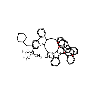 C=C1CC2C(CCc3ccc4c(oc5ccccc54)c3-c3n(-c4c(-c5ccccc5)ccc5ccccc45)c4ccccc4[n+]31)c1ccccc1-c1cc(CC3CCCCC3)c([Si](C)(C)C)c[n+]12